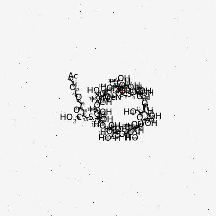 CN[C@H](CSCC1O[C@H]2O[C@@H]3C(CO)OC(O[C@@H]4C(CO)O[C@H](O[C@@H]5C(CO)O[C@@H](O[C@@H]6C(CSCC(CC(=O)CCOCCOCCC(C)=O)C(=O)O)O[C@H](O[C@@H]7C(CO)O[C@@H](O[C@@H]8C(CO)O[C@@H](O[C@H]1[C@H](O)C2O)C(O)[C@H]8O)C(O)[C@H]7O)C(O)[C@H]6O)C(O)[C@H]5O)C(O)[C@H]4O)[C@@H](O)[C@H]3O)C(=O)O